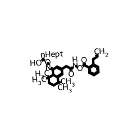 C=CCc1ccccc1C(=O)ONC(=O)CC1=CC(=NOC(O)CCCCCCC)C2C(=C1)C(C)(C)CCC2(C)C